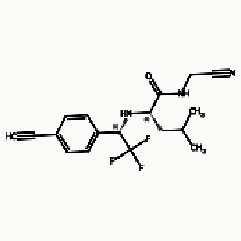 C#Cc1ccc([C@H](N[C@@H](CC(C)C)C(=O)NCC#N)C(F)(F)F)cc1